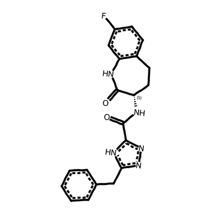 O=C(N[C@H]1CCc2ccc(F)cc2NC1=O)c1nnc(Cc2ccccc2)[nH]1